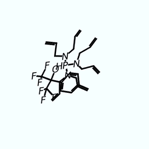 C=CCN(CC=C)[PH](OC(c1ccccc1)(C(F)(F)F)C(F)(F)F)(N(CC=C)CC=C)N(CC=C)CC=C